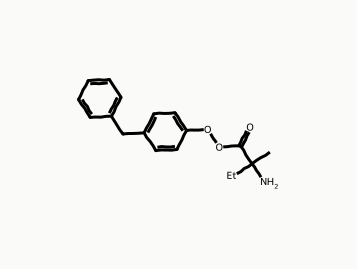 CCC(C)(N)C(=O)OOc1ccc(Cc2ccccc2)cc1